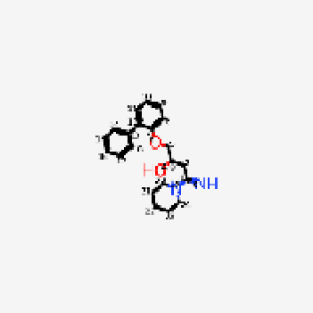 N=C(CC(O)COc1ccccc1-c1ccccc1)N1CCCCC1